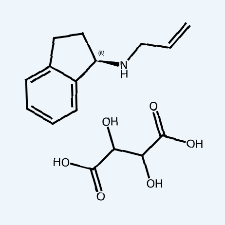 C=CCN[C@@H]1CCc2ccccc21.O=C(O)C(O)C(O)C(=O)O